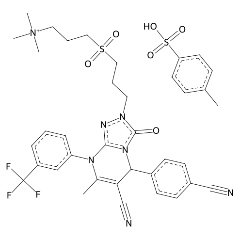 CC1=C(C#N)C(c2ccc(C#N)cc2)n2c(nn(CCCS(=O)(=O)CCC[N+](C)(C)C)c2=O)N1c1cccc(C(F)(F)F)c1.Cc1ccc(S(=O)(=O)O)cc1